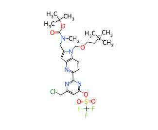 CN(Cc1cc2nc(-c3nc(CCl)cc(OS(=O)(=O)C(F)(F)F)n3)ccc2n1COCC[Si](C)(C)C)C(=O)OC(C)(C)C